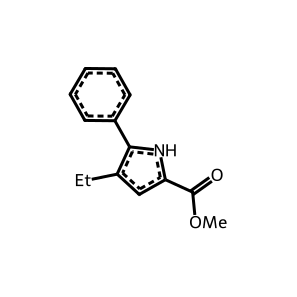 CCc1cc(C(=O)OC)[nH]c1-c1ccccc1